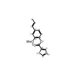 CC=Cc1ccc(OC(=O)c2cncs2)c(OC)c1